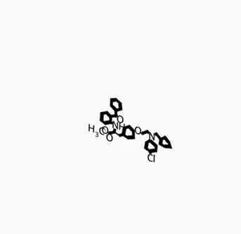 COC(=O)[C@H](Cc1ccc(OCCN(Cc2ccccc2)c2ccc(Cl)cc2)cc1)Nc1ccccc1C(=O)c1ccccc1